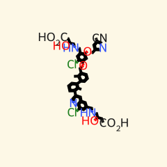 Cc1c(COc2cc(OCc3cncc(C#N)c3)c(CNCC(O)CC(=O)O)cc2Cl)cccc1-c1cccc(-c2cnc3c(Cl)cc(CNCC(O)CC(=O)O)cc3c2)c1C